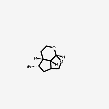 CC(C)[C@H]1CC2CO[C@H]3OCC[C@@H]1[C@@H]23